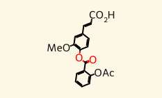 COc1cc(C=CC(=O)O)ccc1OC(=O)c1ccccc1OC(C)=O